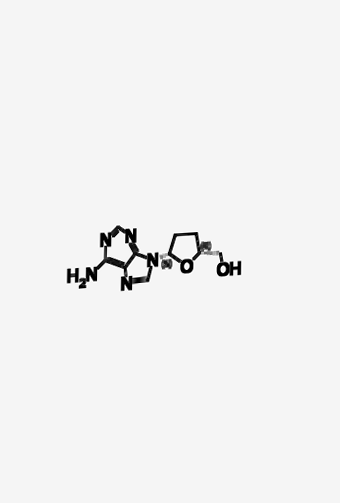 Nc1ncnc2c1ncn2[C@@H]1CC[C@H](CO)O1